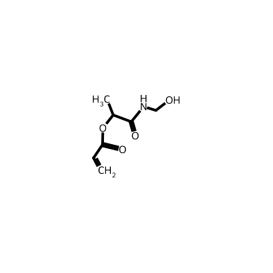 C=CC(=O)OC(C)C(=O)NCO